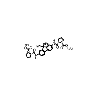 CCCC1(CCC)c2cc(NC(=O)[C@@H]3CCCN3C(=O)OC(C)(C)C)ccc2-c2ccc(NC(=O)[C@@H]3CCCN3C(=O)OC(C)(C)C)cc21